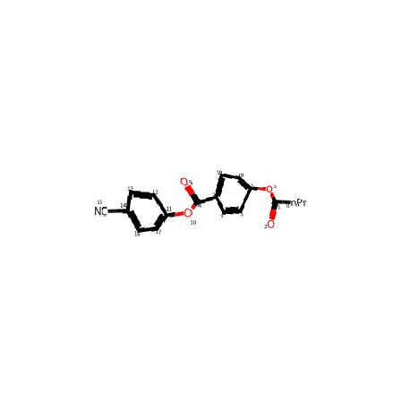 CCCC(=O)Oc1ccc(C(=O)Oc2ccc(C#N)cc2)cc1